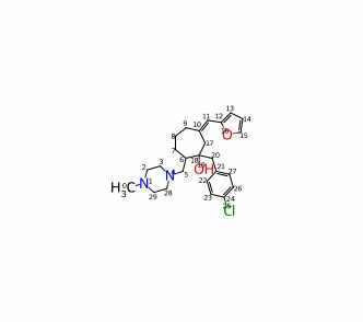 CN1CCN(CC2CCC/C(=C/c3ccco3)CC2(O)Cc2ccc(Cl)cc2)CC1